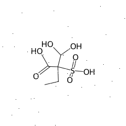 CCC([C](O)O)(C(=O)O)S(=O)(=O)O